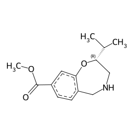 COC(=O)c1ccc2c(c1)O[C@H](C(C)C)CNC2